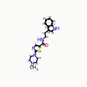 CN1CCN(c2ncc(C(=O)NCCc3c[nH]c4ccccc34)s2)CC1